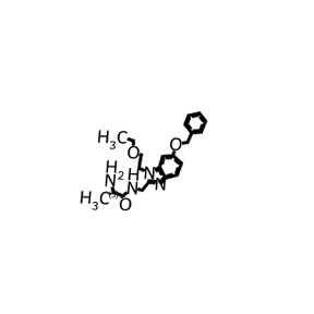 CCOCCn1c(CNC(=O)[C@H](C)N)nc2ccc(OCc3ccccc3)cc21